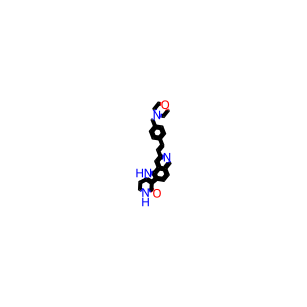 O=C1NCCc2[nH]c3c(ccc4cnc(/C=C/c5ccc(CN6CCOCC6)cc5)cc43)c21